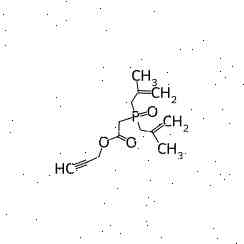 C#CCOC(=O)CP(=O)(CC(=C)C)CC(=C)C